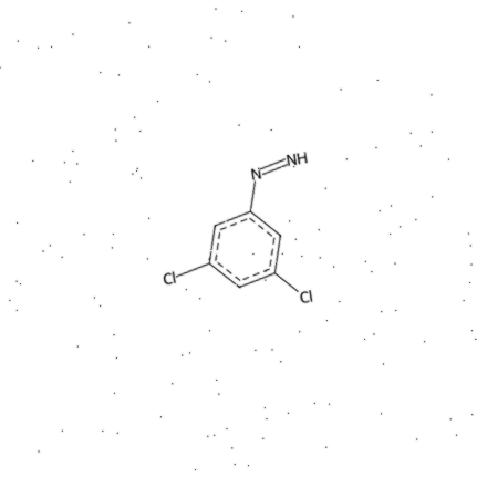 N=Nc1cc(Cl)cc(Cl)c1